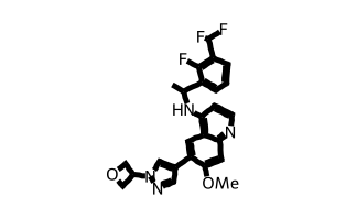 COc1cc2nccc(NC(C)c3cccc(C(F)F)c3F)c2cc1-c1cnn(C2COC2)c1